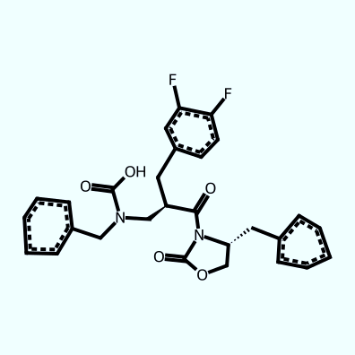 O=C(O)N(Cc1ccccc1)C[C@@H](Cc1ccc(F)c(F)c1)C(=O)N1C(=O)OC[C@H]1Cc1ccccc1